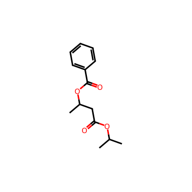 CC(C)OC(=O)CC(C)OC(=O)c1ccccc1